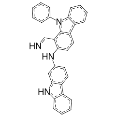 N=Cc1c(Nc2ccc3c(c2)[nH]c2ccccc23)ccc2c3ccccc3n(-c3ccccc3)c12